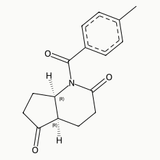 Cc1ccc(C(=O)N2C(=O)CC[C@H]3C(=O)CC[C@H]32)cc1